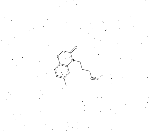 COCCCN1C(=O)CSc2ccc(C)cc21